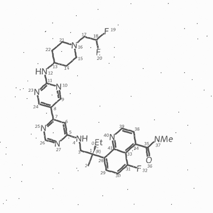 CC[C@@](C)(CNc1cc(-c2cnc(NC3CCN(CC(F)F)CC3)nc2)ncn1)c1ccc(F)c2c(C(=O)NC)ccnc12